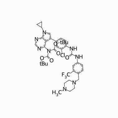 CN1CCN(Cc2ccc(NC(=O)Nc3ccc(-c4cn(C5CC5)c5ncnc(N(C(=O)OC(C)(C)C)C(=O)OC(C)(C)C)c45)cc3Cl)cc2C(F)(F)F)CC1